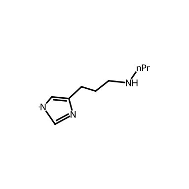 CCCNCCCC1=C[N]C=N1